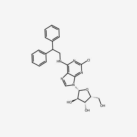 OC[C@H]1O[C@@H](n2cnc3c(NCC(c4ccccc4)c4ccccc4)nc(Cl)nc32)[C@H](O)[C@H]1O